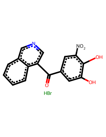 Br.O=C(c1cc(O)c(O)c([N+](=O)[O-])c1)c1cncc2ccccc12